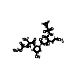 C=CCC(NC(=O)[C@@H]1C[C@@H](O)CN1C(=O)[C@@H](NC(=O)OC(C)(C)C)C(C)(C)C)C(=O)NS(=O)(=O)C1CC1